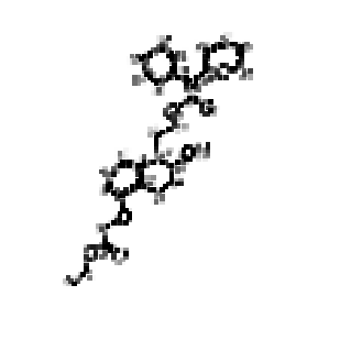 CCOC(=O)COc1cccc2c1CC[C@H](O)[C@@H]2CCOC(=O)N(c1ccccc1)c1ccccc1